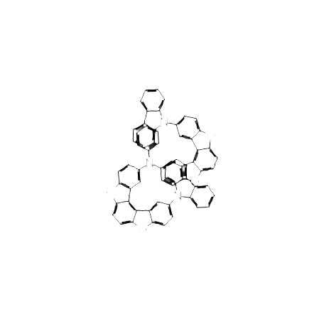 c1ccc(N(c2ccc3oc4ccc5oc6ccc(-n7c8ccccc8c8ccccc87)cc6c5c4c3c2)c2ccc3oc4ccc5oc6ccc(-n7c8ccccc8c8ccccc87)cc6c5c4c3c2)cc1